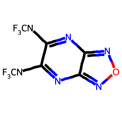 FC(F)(F)Nc1nc2nonc2nc1NC(F)(F)F